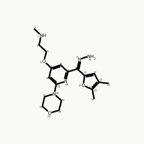 CNCCOc1cc(C(=NN)c2cc(C)c(C)o2)nc(N2CCOCC2)c1